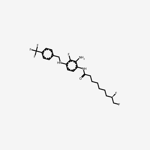 Nc1c(NC(=O)CCCCCC[C@@H](F)CF)ccc(NCc2ccc(C(F)(F)F)cc2)c1F